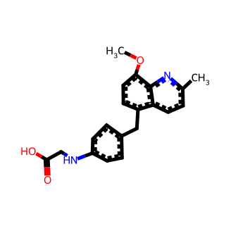 COc1ccc(Cc2ccc(NCC(=O)O)cc2)c2ccc(C)nc12